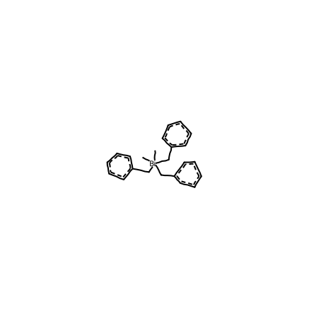 [CH3][Bi]([CH3])([CH2]c1ccccc1)([CH2]c1ccccc1)[CH2]c1ccccc1